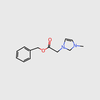 CN1C=CN(CC(=O)OCc2ccccc2)C1